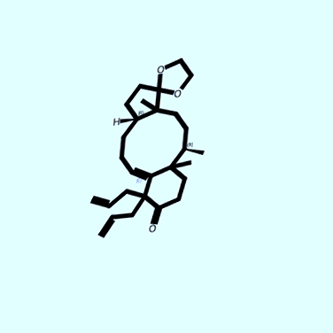 C=CCC1(CC=C)C(=O)CCC2(C)/C1=C\CC[C@@H]1CCC3(OCCO3)C1(C)CC[C@H]2C